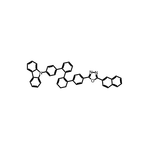 C1=CC(c2ccccc2-c2ccc(-n3c4ccccc4c4ccccc43)cc2)=C(c2ccc(-c3nnc(-c4ccc5ccccc5c4)o3)cc2)CC1